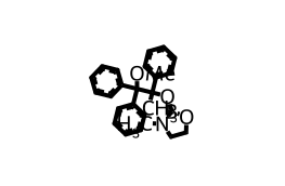 COC(c1ccccc1)(c1ccccc1)C(C)(OB1OCCN1C)c1ccccc1